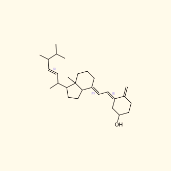 C=C1CCC(O)C/C1=C\C=C1/CCCC2(C)C1CCC2C(C)/C=C/C(C)C(C)C